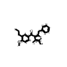 CCCc1cc(C(=O)c2c(Cc3ccccc3)sc(C)c2C)ccc1OC